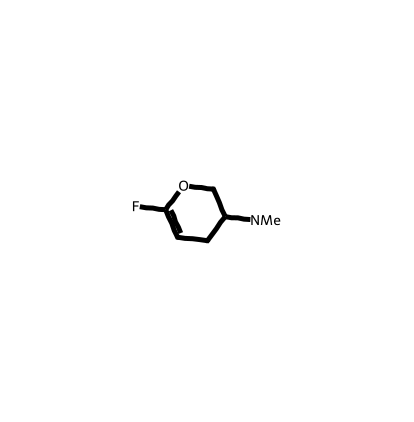 CNC1CC=C(F)OC1